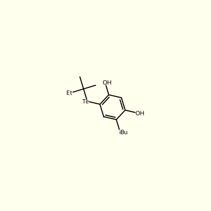 CCC(C)c1cc([Te]C(C)(C)CC)c(O)cc1O